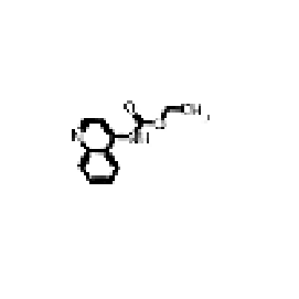 CCOC(=O)Nc1ccnc2ccccc12